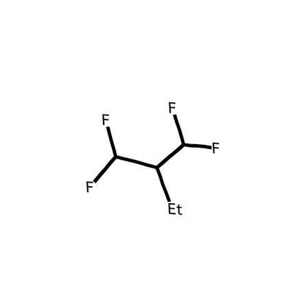 CCC(C(F)F)C(F)F